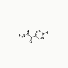 NNC(=O)c1ccc(I)nc1